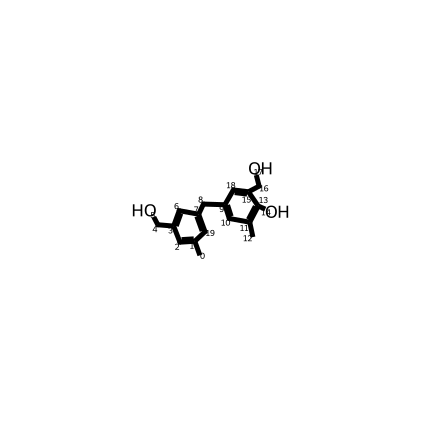 Cc1cc(CO)cc(Cc2cc(C)c(O)c(CO)c2)c1